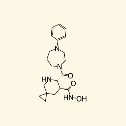 O=C(NO)[C@H]1CC2(CC2)CN[C@@H]1C(=O)N1CCCN(c2ccccc2)CC1